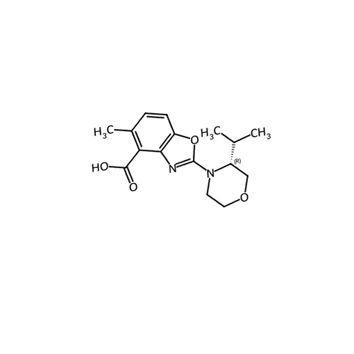 Cc1ccc2oc(N3CCOC[C@H]3C(C)C)nc2c1C(=O)O